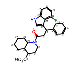 O=C(O)C1CCN(C(=O)CC(C2=CC=CCC2)c2c[nH]c3cccc(F)c23)C2CCCCC12